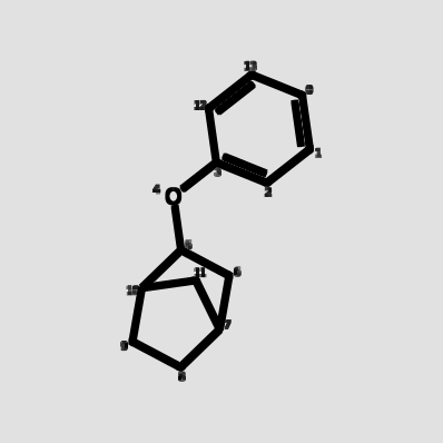 c1ccc(OC2CC3CCC2C3)cc1